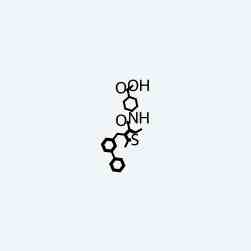 Cc1sc(C)c(C(=O)NC2CCC(C(=O)O)CC2)c1Cc1cccc(-c2ccccc2)c1